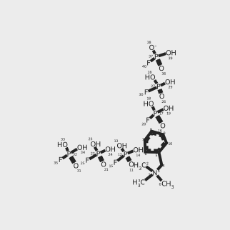 C[N+](C)(C)Cc1ccccc1.O=P(O)(O)F.O=P(O)(O)F.O=P(O)(O)F.O=P(O)(O)F.O=P(O)(O)F.O=P([O-])(O)F